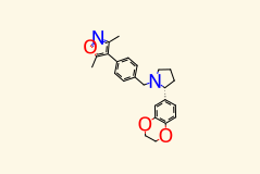 Cc1noc(C)c1-c1ccc(CN2CCC[C@@H]2c2ccc3c(c2)OCCO3)cc1